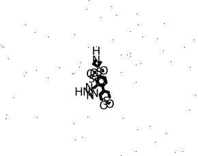 O=[S+]c1c(S(=O)(=O)C2CNC2)ccc(C2=CCS(=O)(=O)CC2)c1-c1nn[nH]n1